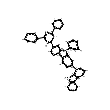 c1ccc(-c2nc(-c3ccccc3)nc(-c3ccc4c5ccc(-c6cccc7c6oc6ccccc67)cc5n(-c5ccccc5)c4c3)n2)cc1